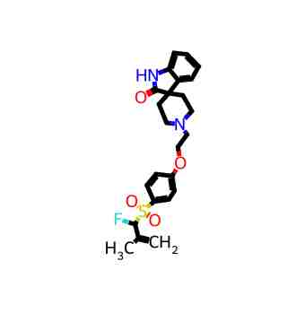 C=C(C)C(F)S(=O)(=O)c1ccc(OCCN2CCC3(CC2)C(=O)Nc2ccccc23)cc1